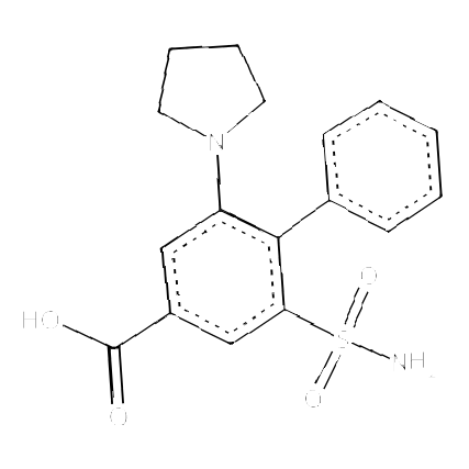 NS(=O)(=O)c1cc(C(=O)O)cc(N2CCCC2)c1-c1ccccc1